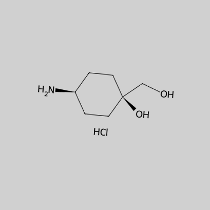 Cl.N[C@H]1CC[C@](O)(CO)CC1